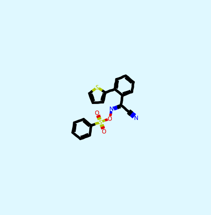 N#C/C(=N\OS(=O)(=O)c1ccccc1)c1ccccc1-c1cccs1